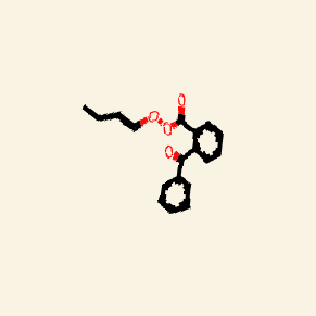 CCCCOOC(=O)c1ccccc1C(=O)c1ccccc1